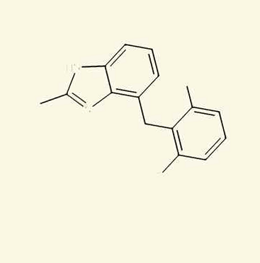 Cc1nc2c(Cc3c(F)cccc3F)cccc2[nH]1